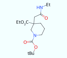 CCNC(=O)CC1(C(=O)OCC)CCCN(C(=O)OC(C)(C)C)C1